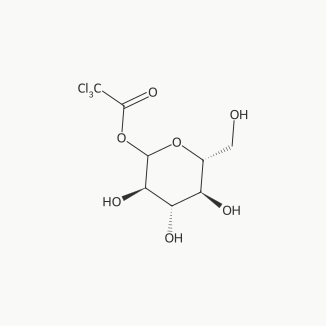 O=C(OC1O[C@H](CO)[C@@H](O)[C@H](O)[C@H]1O)C(Cl)(Cl)Cl